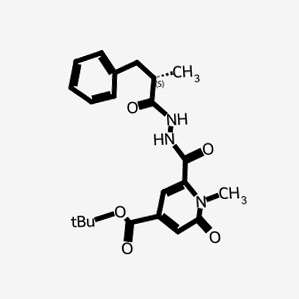 C[C@@H](Cc1ccccc1)C(=O)NNC(=O)c1cc(C(=O)OC(C)(C)C)cc(=O)n1C